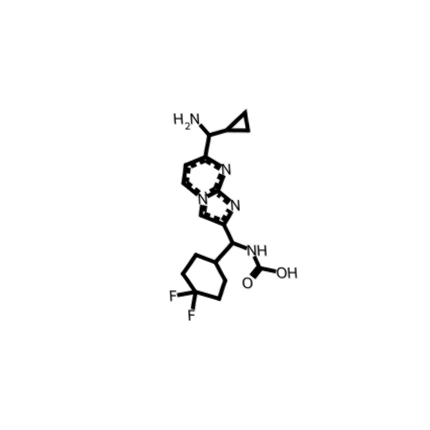 NC(c1ccn2cc(C(NC(=O)O)C3CCC(F)(F)CC3)nc2n1)C1CC1